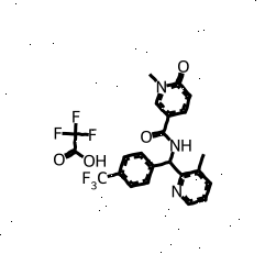 Cc1cccnc1C(NC(=O)c1ccc(=O)n(C)c1)c1ccc(C(F)(F)F)cc1.O=C(O)C(F)(F)F